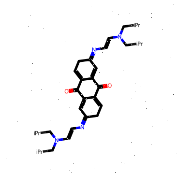 CC(C)CN(C=CN=C1C=C2C(=O)C3=CCC(=NC=CN(CC(C)C)CC(C)C)C=C3C(=O)C2=CC1)CC(C)C